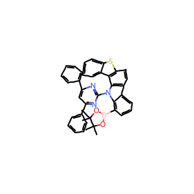 CC1(C)OB(c2cccc3c4ccc5sc6ccccc6c5c4n(-c4nc(-c5ccccc5)cc(-c5ccccc5)n4)c23)OC1(C)C